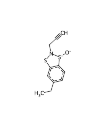 C#CCN1Sc2cc(CC)ccc2[S+]1[O-]